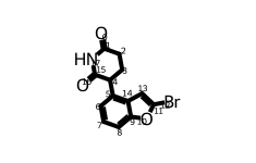 O=C1CCC(c2cccc3oc(Br)cc23)C(=O)N1